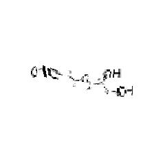 O=CCCOCC(O)CO